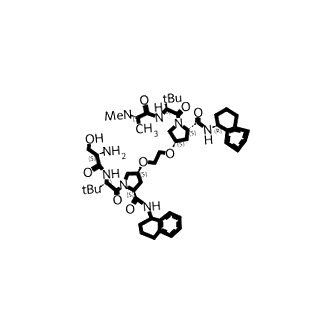 CN[C@@H](C)C(=O)N[C@H](C(=O)N1C[C@@H](OCCO[C@H]2C[C@@H](C(=O)NC3CCCc4ccccc43)N(C(=O)[C@@H](NC(=O)[C@@H](N)CO)C(C)(C)C)C2)C[C@H]1C(=O)N[C@@H]1CCCc2ccccc21)C(C)(C)C